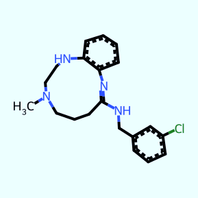 CN1CCC/C(NCc2cccc(Cl)c2)=N\c2ccccc2NCC1